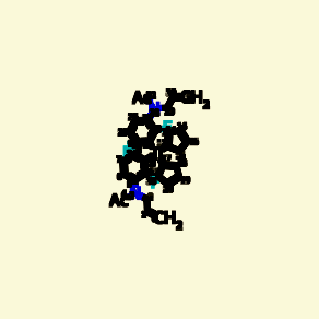 C=CCN(C(C)=O)c1ccc(F)[c]([Ti]([C]2=CC=CC2)([C]2=CC=CC2)[c]2c(F)ccc(N(CC=C)C(C)=O)c2F)c1F